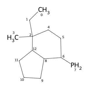 CCC1(C)CCC(P)C2CCCC21